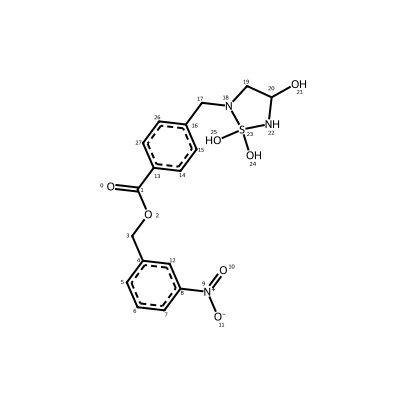 O=C(OCc1cccc([N+](=O)[O-])c1)c1ccc(CN2CC(O)NS2(O)O)cc1